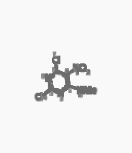 CNc1nc(Cl)nc(Cl)c1[N+](=O)[O-]